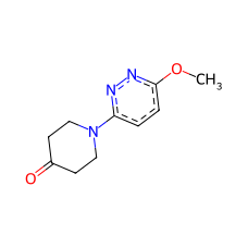 COc1ccc(N2CCC(=O)CC2)nn1